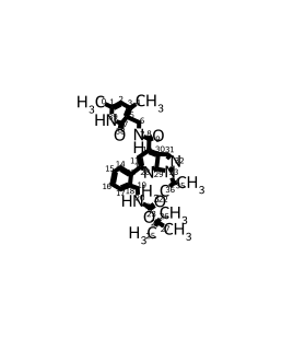 Cc1cc(C)c(CNC(=O)c2cc(-c3ccccc3CNC(=O)OC(C)(C)C)nc3c2cnn3C(C)C)c(=O)[nH]1